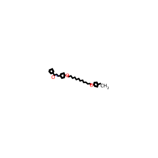 C=Cc1ccc(OCCCCCCCCCCCCOc2ccc(/C=C/C(=O)c3ccccc3)cc2)cc1